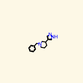 c1ccc(CN2CCCC(c3cn[nH]c3)C2)cc1